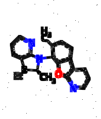 CCB1c2cccnc2N(c2c(C)ccc3c2oc2ncccc23)[C@H]1C